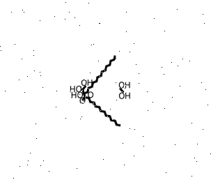 CCCCCCCCCCCCCC(=O)C(O)(C(=O)CCCCCCCCCCCCC)C(O)CO.OCCO